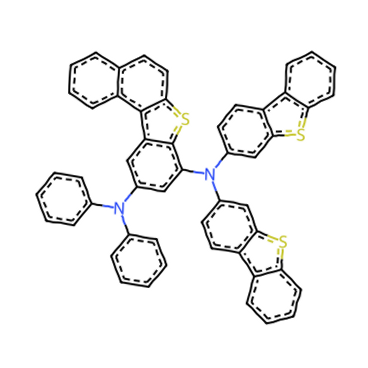 c1ccc(N(c2ccccc2)c2cc(N(c3ccc4c(c3)sc3ccccc34)c3ccc4c(c3)sc3ccccc34)c3sc4ccc5ccccc5c4c3c2)cc1